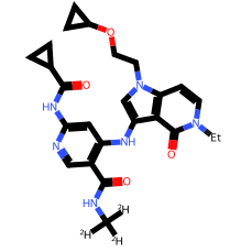 [2H]C([2H])([2H])NC(=O)c1cnc(NC(=O)C2CC2)cc1Nc1cn(CCOC2CC2)c2ccn(CC)c(=O)c12